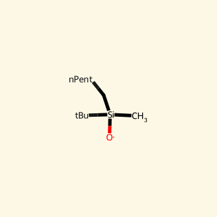 CCCCCC[Si](C)([O])C(C)(C)C